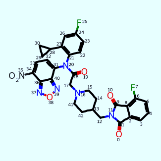 O=C1c2cccc(F)c2C(=O)N1CC1CCN(CC(=O)N(c2ccc(F)cc2C2CC2)c2ccc([N+](=O)[O-])c3nonc23)CC1